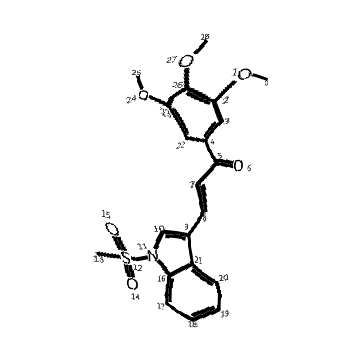 COc1cc(C(=O)C=Cc2cn(S(C)(=O)=O)c3ccccc23)cc(OC)c1OC